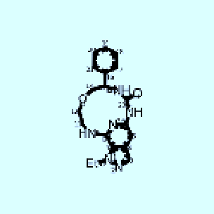 CCn1ncc2cc3nc(c21)NCCOCC(c1ccccc1)NC(=O)N3